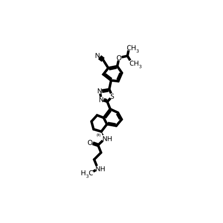 CNCCC(=O)N[C@@H]1CCCc2c(-c3nnc(-c4ccc(OC(C)C)c(C#N)c4)s3)cccc21